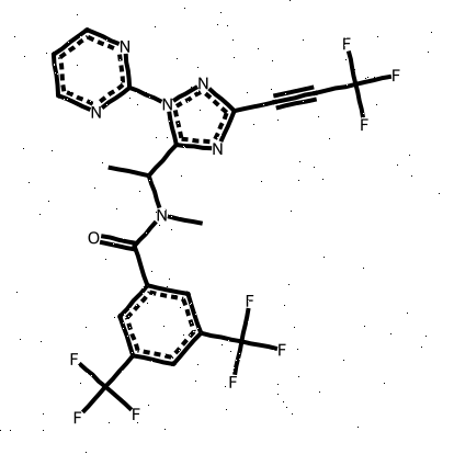 CC(c1nc(C#CC(F)(F)F)nn1-c1ncccn1)N(C)C(=O)c1cc(C(F)(F)F)cc(C(F)(F)F)c1